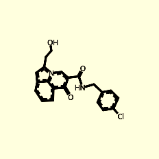 O=C(NCc1ccc(Cl)cc1)c1cn2c(CCO)cc3cccc(c1=O)c32